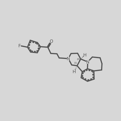 O=C(CCCN1CC[C@@H]2[C@H](C1)c1cccc3c1N2CCCC3)c1ccc(F)cc1